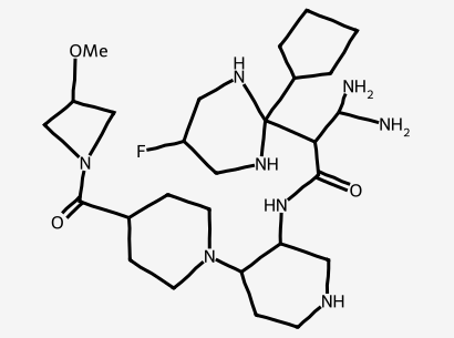 COC1CN(C(=O)C2CCN(C3CCNCC3NC(=O)C(C(N)N)C3(C4CCCC4)NCC(F)CN3)CC2)C1